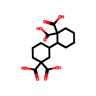 O=C(O)C1(C(=O)O)CCCC(C2CCCCC2(C(=O)O)C(=O)O)C1